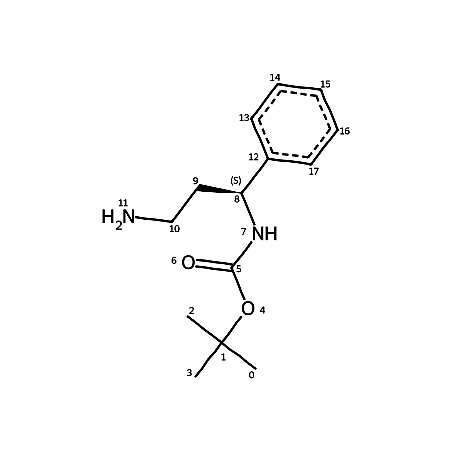 CC(C)(C)OC(=O)N[C@@H](CCN)c1ccccc1